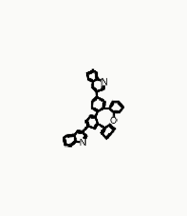 c1ccc2ncc(-c3ccc4c(c3)c3ccccc3oc3ccccc3c3cc(-c5cnc6ccccc6c5)ccc34)cc2c1